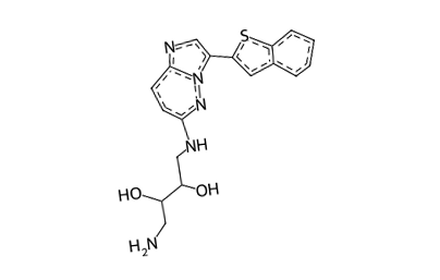 NCC(O)C(O)CNc1ccc2ncc(-c3cc4ccccc4s3)n2n1